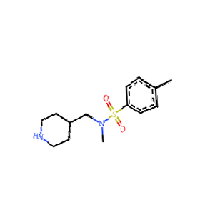 Cc1ccc(S(=O)(=O)N(C)CC2CCNCC2)cc1